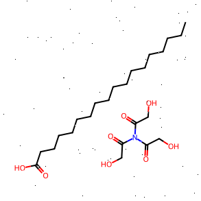 CCCCCCCCCCCCCCCCCC(=O)O.O=C(CO)N(C(=O)CO)C(=O)CO